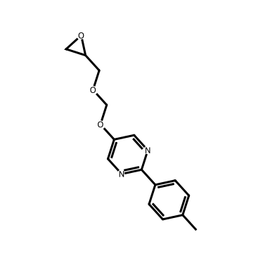 Cc1ccc(-c2ncc(OCOCC3CO3)cn2)cc1